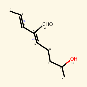 C/C=C/C(C=O)=C/CCC(C)O